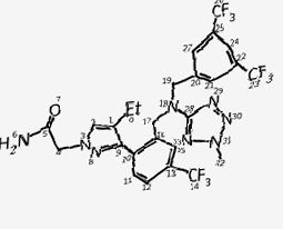 CCc1cn(CC(N)=O)nc1-c1ccc(C(F)(F)F)cc1CN(Cc1cc(C(F)(F)F)cc(C(F)(F)F)c1)c1nnn(C)n1